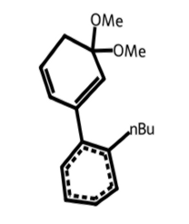 CCCCc1ccccc1C1=CC(OC)(OC)CC=C1